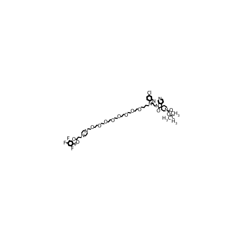 CC(C)(C)OC(=O)N1CCC2(CC1)C(=O)N(Cc1nc3cc(Cl)ccc3n1CCCCOCCOCCOCCOCCOCCOCCOCCOCCN1CCN(CCC(=O)Oc3c(F)c(F)cc(F)c3F)CC1)c1cnccc12